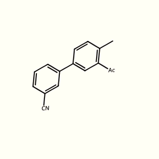 CC(=O)c1cc(-c2cccc(C#N)c2)ccc1C